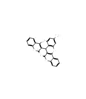 Nc1ccc2c(c1)Oc1c(c(=O)oc3ccccc13)C2c1c(S)c2ccccc2oc1=O